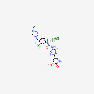 CCOc1cc(-c2nc(C)c(NC(=O)Nc3ccc(CN4CCN(CC)CC4)c(C(F)(F)F)c3)c(C)n2)c[nH]c1=O.Cl.Cl.Cl